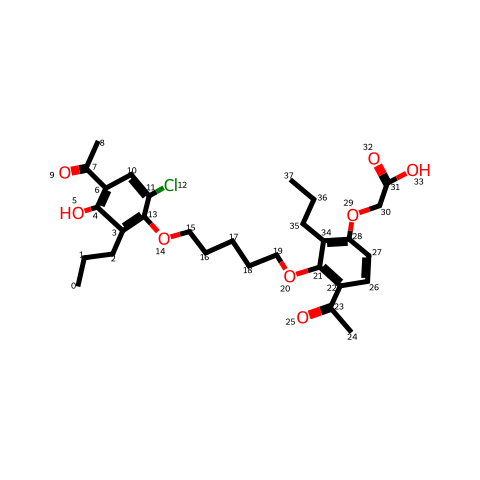 CCCc1c(O)c(C(C)=O)cc(Cl)c1OCCCCCOc1c(C(C)=O)ccc(OCC(=O)O)c1CCC